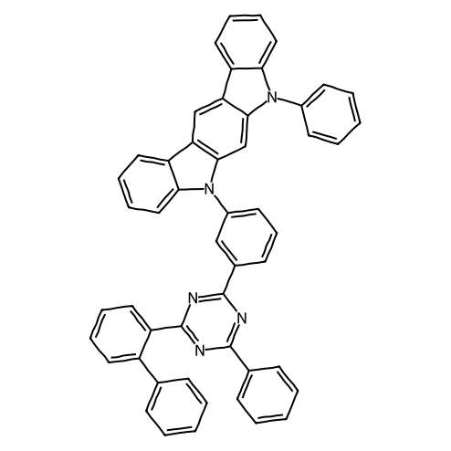 c1ccc(-c2nc(-c3cccc(-n4c5ccccc5c5cc6c7ccccc7n(-c7ccccc7)c6cc54)c3)nc(-c3ccccc3-c3ccccc3)n2)cc1